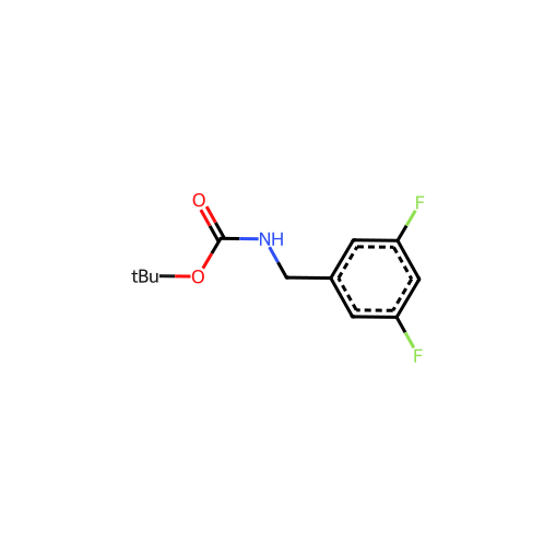 CC(C)(C)OC(=O)NCc1cc(F)cc(F)c1